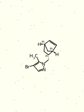 Cc1c(Br)cnn1C[C@@H]1C[C@@H]2C=C[C@H]1C2